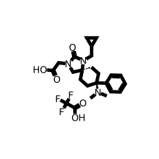 CN(C)[C@]1(c2ccccc2)CC[C@]2(CC1)CN(CC(=O)O)C(=O)N2CC1CC1.O=C(O)C(F)(F)F